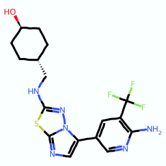 Nc1ncc(-c2cnc3sc(NC[C@H]4CC[C@H](O)CC4)nn23)cc1C(F)(F)F